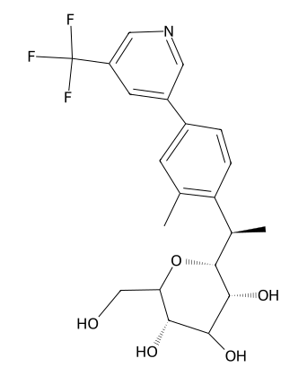 Cc1cc(-c2cncc(C(F)(F)F)c2)ccc1[C@@H](C)[C@H]1OC(CO)[C@@H](O)C(O)[C@H]1O